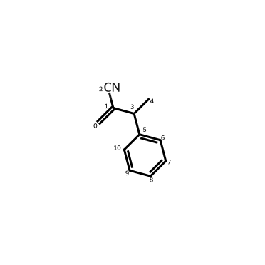 C=C(C#N)C(C)c1ccccc1